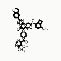 CCc1c(N2CCN(C(=O)c3ncnc(C)c3O)CC2)c(=O)n2nc(-c3ccc4c(c3)CCO4)nc2n1CC(=O)Nc1ccc(C(F)(F)F)c2c1CC2